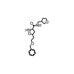 O=C(NCC1CCOC1)C1CC(CCOCc2ccccc2)ON1